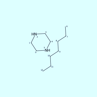 C1CNCCN1.CCCCCCC